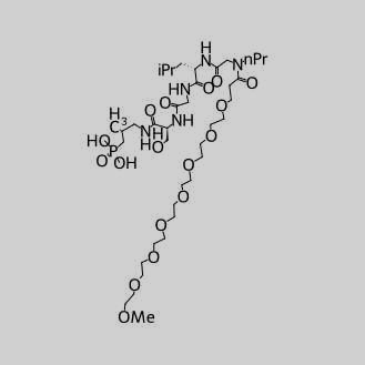 CCCN(CC(=O)N[C@@H](CC(C)C)C(=O)NCC(=O)N[C@@H](CO)C(=O)NC[C@@H](C)CP(=O)(O)O)C(=O)CCOCCOCCOCCOCCOCCOCCOCCOC